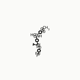 CCS(=O)(=O)c1ccc([C@H](CO)NC(=O)c2ccc(-c3nc(Oc4ccc(C(F)(F)F)cc4)sc3C3CC3)cc2)cc1